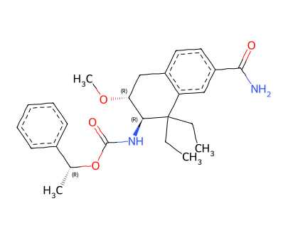 CCC1(CC)c2cc(C(N)=O)ccc2C[C@@H](OC)[C@@H]1NC(=O)O[C@H](C)c1ccccc1